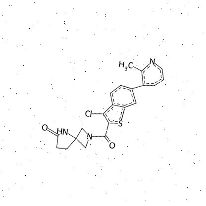 Cc1ncccc1-c1ccc2c(Cl)c(C(=O)N3CC4(CCC(=O)N4)C3)sc2c1